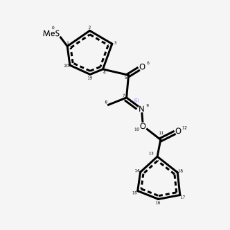 CSc1ccc(C(=O)/C(C)=N/OC(=O)c2ccccc2)cc1